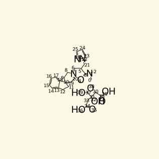 CN(C)C(=O)C(CN1CCC2(CCc3ccccc32)CC1)Cn1cccn1.O=C(O)CC(O)(CC(=O)O)C(=O)O